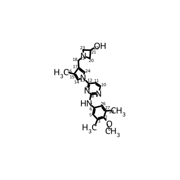 COc1c(C)cc(Nc2nccc(-n3cc(C)c(CN4CC(O)C4)c3)n2)cc1C